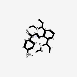 CCOC(CC)c1cccc(C(CC)OCC)c1/C=C/C(=O)c1ccc(N)cc1